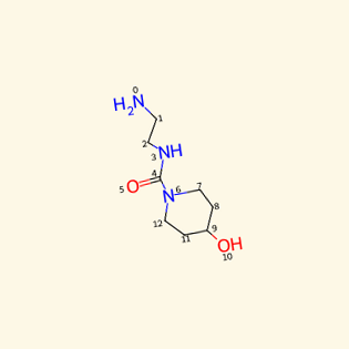 NCCNC(=O)N1CCC(O)CC1